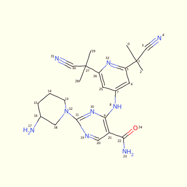 CC(C)(C#N)c1cc(Nc2nc(N3CCCC(N)C3)ncc2C(N)=O)cc(C(C)(C)C#N)n1